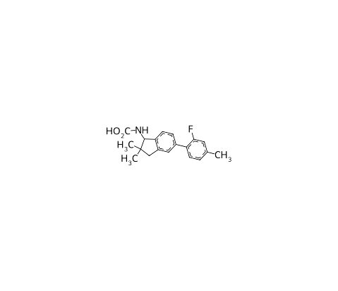 Cc1ccc(-c2ccc3c(c2)CC(C)(C)C3NC(=O)O)c(F)c1